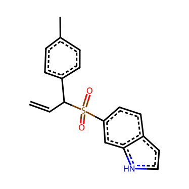 C=CC(c1ccc(C)cc1)S(=O)(=O)c1ccc2cc[nH]c2c1